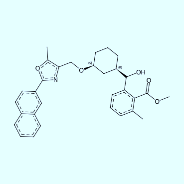 COC(=O)c1c(C)cccc1C(O)[C@@H]1CCC[C@H](OCc2nc(-c3ccc4ccccc4c3)oc2C)C1